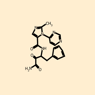 Cc1ncc(C(=O)NC(Cc2ccccc2)C(=O)C(N)=O)n1-c1ccncn1